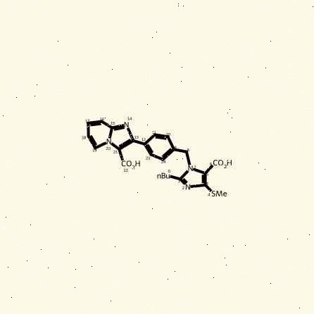 CCCCc1nc(SC)c(C(=O)O)n1Cc1ccc(-c2nc3ccccn3c2C(=O)O)cc1